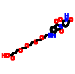 O=C(O)CCCOCCOCCOCCOCCNc1ccc2c(c1)C(=O)N(C1CCC(=O)NC1=O)C2=O